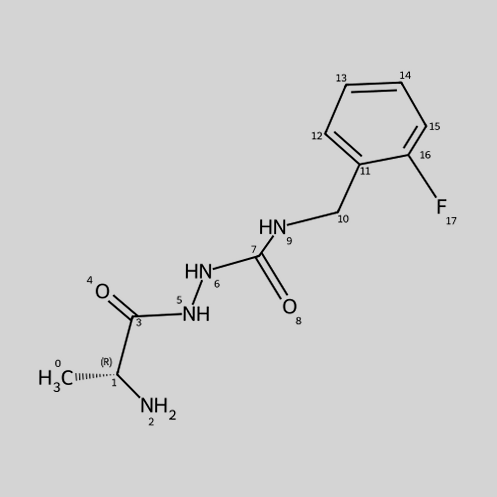 C[C@@H](N)C(=O)NNC(=O)NCc1ccccc1F